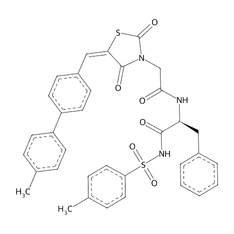 Cc1ccc(-c2ccc(C=C3SC(=O)N(CC(=O)N[C@@H](Cc4ccccc4)C(=O)NS(=O)(=O)c4ccc(C)cc4)C3=O)cc2)cc1